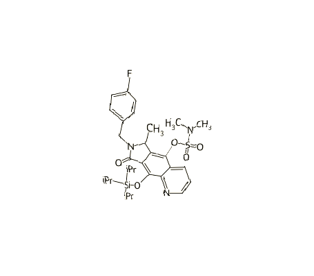 CC1c2c(c(O[Si](C(C)C)(C(C)C)C(C)C)c3ncccc3c2OS(=O)(=O)N(C)C)C(=O)N1Cc1ccc(F)cc1